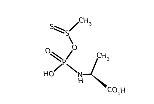 C[C@H](NP(=O)(O)OS(C)=S)C(=O)O